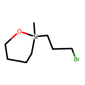 C[Si]1(CCCBr)CCCCO1